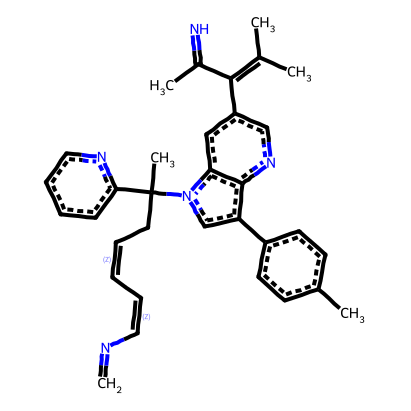 C=N/C=C\C=C/CC(C)(c1ccccn1)n1cc(-c2ccc(C)cc2)c2ncc(C(C(C)=N)=C(C)C)cc21